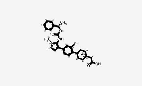 C[C@@H](OC(=O)Nc1c(-c2ccc(C34CCC(CC(=O)O)(CC3)OC4)c(F)c2)cnn1C)c1ccccc1